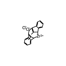 CC1=C2CC3=C(C)[CH]([Zr+2][CH]1c1ccccc12)c1ccccc13.[Cl-].[Cl-]